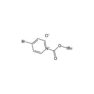 CC(C)(C)OC(=O)[n+]1ccc(Br)cc1.[Cl-]